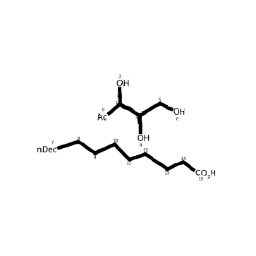 CC(=O)C(O)C(O)CO.CCCCCCCCCCCCCCCCCC(=O)O